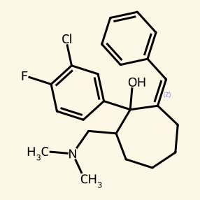 CN(C)CC1CCCC/C(=C/c2ccccc2)C1(O)c1ccc(F)c(Cl)c1